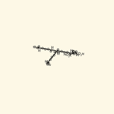 CC(C)[C@H](NC(=O)[C@@H]1CCCN1C(=O)[C@H](CC(=O)O)NC(=O)CCOCCOCCOCCNC(=O)[C@H](CCCCNC(=O)CCOCCOCCOCCNC(=O)OC(C)(C)C)NC(=O)CCOCCOCCOCCNC(=O)OC(C)(C)C)C(=O)O